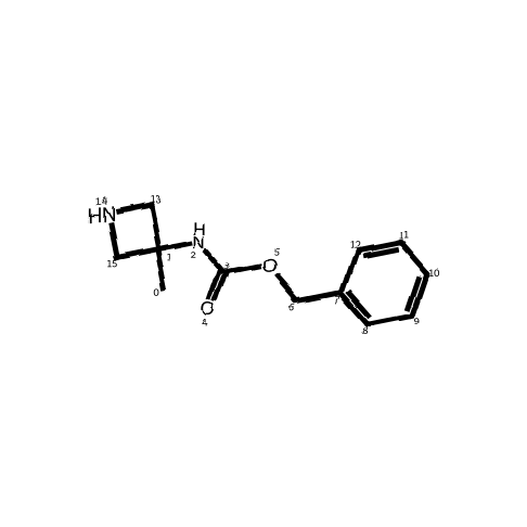 CC1(NC(=O)OCc2ccccc2)CNC1